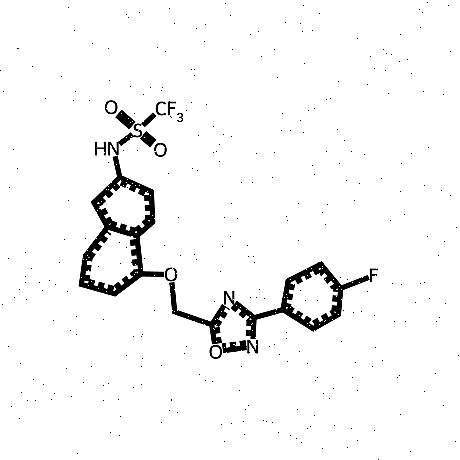 O=S(=O)(Nc1ccc2c(OCc3nc(-c4ccc(F)cc4)no3)cccc2c1)C(F)(F)F